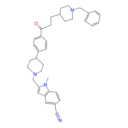 Cn1c(CN2CCC(c3ccc(C(=O)CCC4CCN(Cc5ccccc5)CC4)cc3)CC2)cc2cc(C#N)ccc21